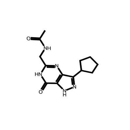 CC(=O)NCc1nc2c(C3CCCC3)n[nH]c2c(=O)[nH]1